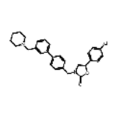 O=C1OC(c2ccc(Cl)cc2)CN1Cc1ccc(-c2cccc(CN3CCCCC3)c2)cc1